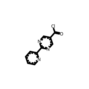 O=C(Cl)c1cnc(-c2ccccn2)nc1